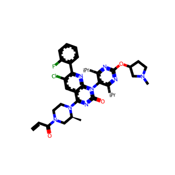 C=CC(=O)N1CCN(c2nc(=O)n(-c3c(C(C)C)nc(OC4CCN(C)C4)nc3C(C)C)c3nc(-c4ccccc4F)c(Cl)cc23)[C@@H](C)C1